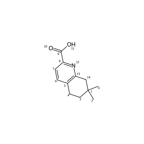 CC1(C)CCc2ccc(C(=O)O)nc2C1